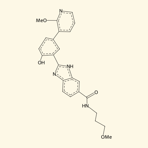 COCCCNC(=O)c1ccc2nc(-c3cc(-c4cccnc4OC)ccc3O)[nH]c2c1